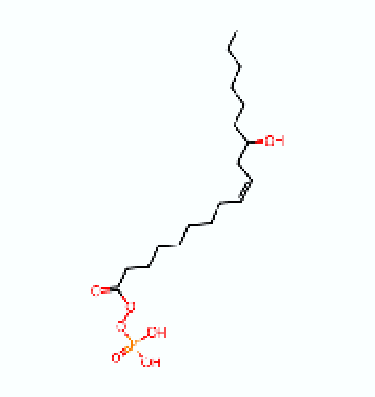 CCCCCC[C@@H](O)C/C=C\CCCCCCCC(=O)OOP(=O)(O)O